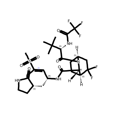 CC(C)(C)[C@H](NC(=O)C(F)(F)F)C(=O)N1[C@H]2CC[C@@H]([C@@H]1C(=O)N[C@@H](/C=C(\F)S(C)(=O)=O)C[C@@H]1CCNC1=O)C(F)(F)C2